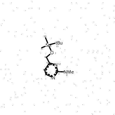 CNc1nccc(CO[Si](C)(C)C(C)(C)C)n1